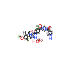 Cn1c(-c2ccc(OCF)cc2F)cnc1C(=O)Nc1ccc(C(=O)N2CCN(C(=O)C3CCNCC3)CC2)c(Cl)c1.O=CO